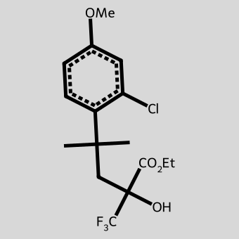 CCOC(=O)C(O)(CC(C)(C)c1ccc(OC)cc1Cl)C(F)(F)F